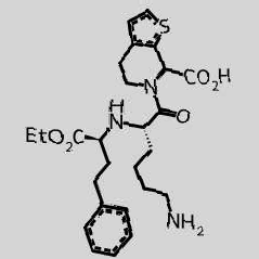 CCOC(=O)[C@H](CCc1ccccc1)N[C@@H](CCCCN)C(=O)N1CCc2ccsc2C1C(=O)O